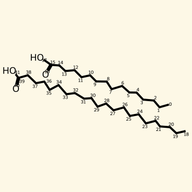 CCCCCCCCCCCCCCCC(=O)O.CCCCCCCCCCCCCCCCCCCCCC(=O)O